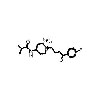 CC(C)C(=O)NC1CCN(CCCC(=O)c2ccc(F)cc2)CC1.Cl